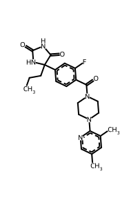 CCCC1(c2ccc(C(=O)N3CCN(c4ncc(C)cc4C)CC3)c(F)c2)NC(=O)NC1=O